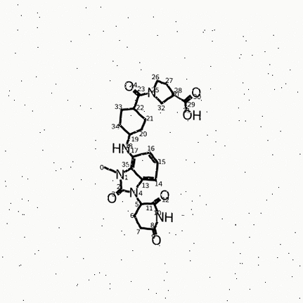 Cn1c(=O)n(C2CCC(=O)NC2=O)c2cccc(NC3CCC(C(=O)N4CC[C@@H](C(=O)O)C4)CC3)c21